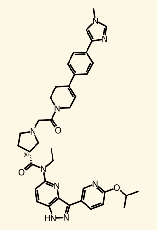 CCN(C(=O)[C@@H]1CCN(CC(=O)N2CC=C(c3ccc(-c4cn(C)cn4)cc3)CC2)C1)c1ccc2[nH]nc(-c3ccc(OC(C)C)nc3)c2n1